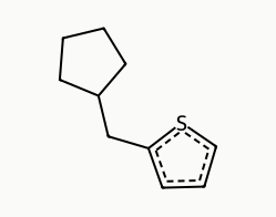 c1csc(CC2CCCC2)c1